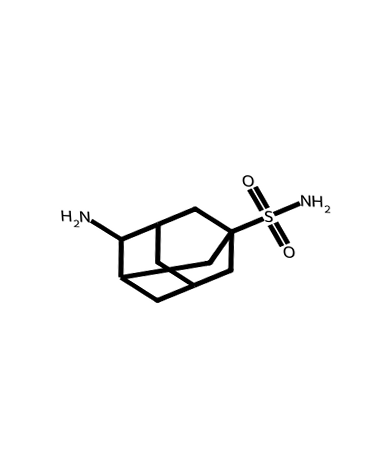 NC1C2CC3CC1CC(S(N)(=O)=O)(C3)C2